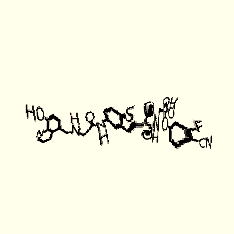 N#Cc1ccc(OP(=O)(O)CNS(=O)(=O)c2cc3cc(NC(=O)CNCc4ccc(O)c5ncccc45)ccc3s2)cc1F